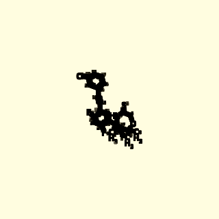 CC1(C)OCC(=S)NC(C)(c2cc(C#Cc3cccc(Cl)c3)c(F)cc2F)C1(F)F